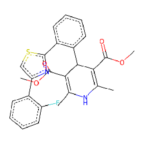 COC(=O)C1=C(C)NC(C)=C(C(=O)OC)C1c1ccccc1-c1nc(-c2ccccc2F)cs1